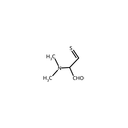 CN(C)C([C]=O)C=S